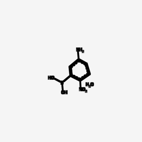 Nc1ccc([N+](=O)[O-])c(B(O)O)c1.O